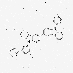 C1=CC(c2cccc(N3C4C=CC(C5=CC=C6C(C5)c5ccccc5N6c5ccccc5)=CC4C4CCCCC43)c2)=CCC1